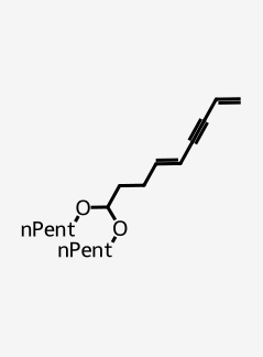 C=CC#C/C=C/CCC(OCCCCC)OCCCCC